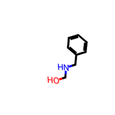 OCNCc1ccccc1